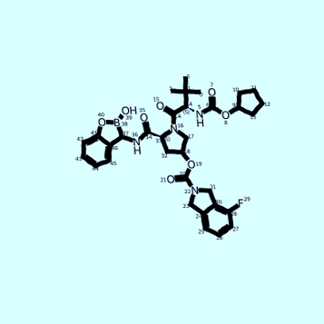 CC(C)(C)[C@H](NC(=O)OC1CCCC1)C(=O)N1CC(OC(=O)N2Cc3cccc(F)c3C2)C[C@H]1C(=O)NC1B(O)Oc2ccccc21